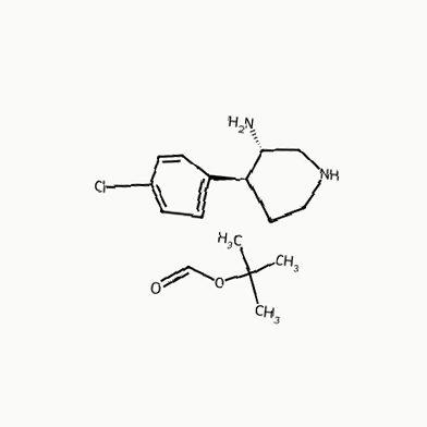 CC(C)(C)OC=O.N[C@@H]1CNCC[C@H]1c1ccc(Cl)cc1